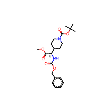 COC(=O)[C@H](NC(=O)OCc1ccccc1)C1CCN(C(=O)OC(C)(C)C)CC1